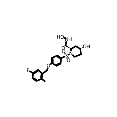 Cc1ccc(F)cc1COc1ccc(S(=O)(=O)N2CC[C@@H](O)C[C@@H]2C(=O)NO)cc1